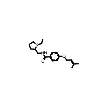 CCN1CCCC1CNC(=O)c1ccc(OCC=C(C)C)cc1